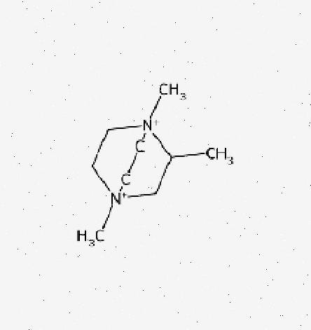 CC1C[N+]2(C)CC[N+]1(C)CC2